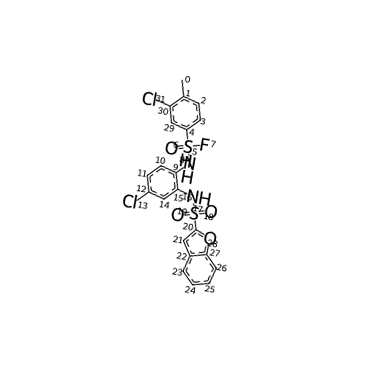 Cc1ccc([SH](=O)(F)Nc2ccc(Cl)cc2NS(=O)(=O)c2cc3ccccc3o2)cc1Cl